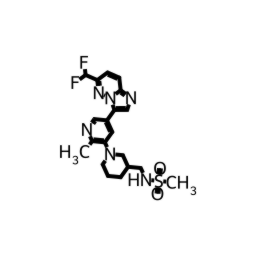 Cc1ncc(-c2cnc3ccc(C(F)F)nn23)cc1N1CCCC(CNS(C)(=O)=O)C1